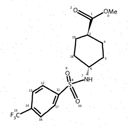 COC(=O)[C@H]1CC[C@H](NS(=O)(=O)c2ccc(C(F)(F)F)cc2)CC1